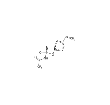 C=Cc1ccc(OS(=O)(=O)NC(=O)C(F)(F)F)cc1